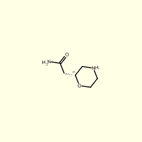 NC(=O)C[C@@H]1CNCCO1